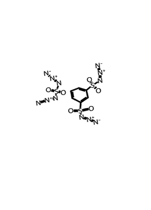 [N-]=[N+]=NS(=O)(=O)N=[N+]=[N-].[N-]=[N+]=NS(=O)(=O)c1cccc(S(=O)(=O)N=[N+]=[N-])c1